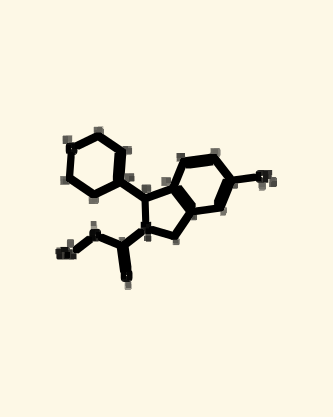 CC(C)(C)OC(=O)N1Cc2cc(C(F)(F)F)ccc2C1C1=CCOCC1